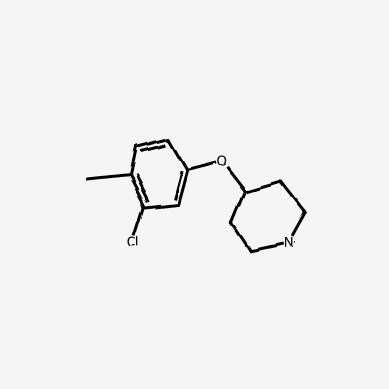 Cc1ccc(OC2CC[N]CC2)cc1Cl